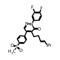 CC(C)/C=C/CCc1c(-c2ccc(S(C)(=O)=O)cc2)cnn(-c2ccc(F)c(F)c2)c1=O